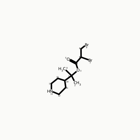 CC(C)(OC(=O)C(Br)CBr)C1CCNCC1